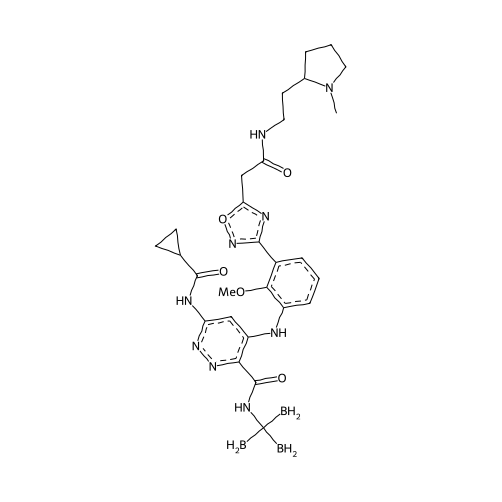 BC(B)(B)NC(=O)c1nnc(NC(=O)C2CC2)cc1Nc1cccc(-c2noc(CC(=O)NCCC3CCCN3C)n2)c1OC